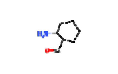 NC1CCCCC1[C]=O